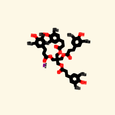 CC(C)(C)c1cc(CCC(=O)OCC(COC(=O)CCc2cc(C(C)(C)C)c(O)c(C(C)(C)C)c2)(COC(=O)CCc2cc(C(C)(C)C)c(O)c(C(C)(C)C)c2)COC(=O)CCc2cc(C(C)(C)C)c(O)c(C(C)(C)C)c2)cc(C(C)(C)C)c1O.[P]